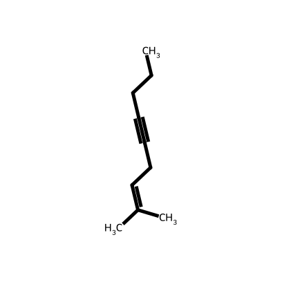 CCCC#CCC=C(C)C